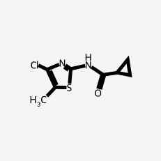 Cc1sc(NC(=O)C2CC2)nc1Cl